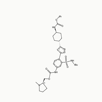 CC(C)OC(=O)N[C@H]1CC[C@H](c2ncc(-c3ccc(NC(=O)OC[C@H]4CCCN4C)cc3S(=O)(=O)NC(C)(C)C)s2)CC1